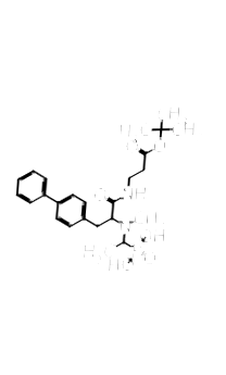 CC(N(C)C(Cc1ccc(-c2ccccc2)cc1)C(=O)NCCC(=O)OC(C)(C)C)P(=O)(O)O